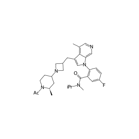 CC(=O)N1CCC(N2CC(Cc3cn(-c4ccc(F)cc4C(=O)N(C)C(C)C)c4cncc(C)c34)C2)C[C@H]1C